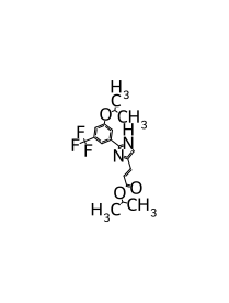 CC(C)OC(=O)C=Cc1c[nH]c(-c2cc(OC(C)C)cc(C(F)(F)F)c2)n1